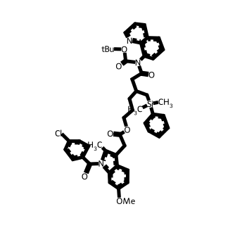 COc1ccc2c(CC(=O)OCCCC(CC(=O)N(C(=O)OC(C)(C)C)c3cccc4cccnc34)C[Si](C)(C)c3ccccc3)c(C)n(C(=O)c3ccc(Cl)cc3)c2c1